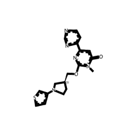 Cn1c(OC[C@H]2CCN(c3ccsc3)C2)nc(-c2ccncn2)cc1=O